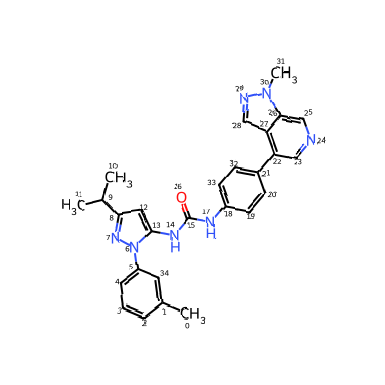 Cc1cccc(-n2nc(C(C)C)cc2NC(=O)Nc2ccc(-c3cncc4c3cnn4C)cc2)c1